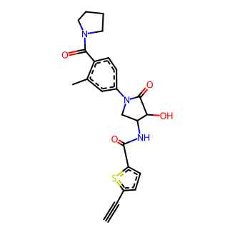 C#Cc1ccc(C(=O)NC2CN(c3ccc(C(=O)N4CCCC4)c(C)c3)C(=O)C2O)s1